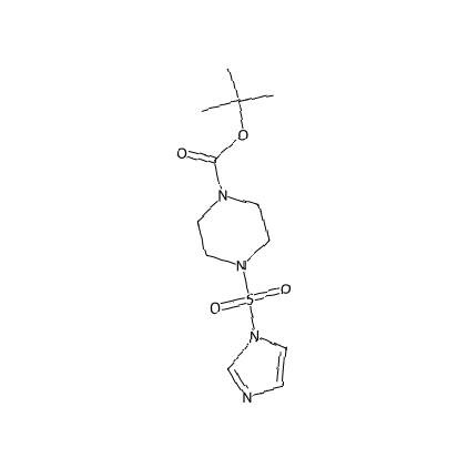 CC(C)(C)OC(=O)N1CCN(S(=O)(=O)n2ccnc2)CC1